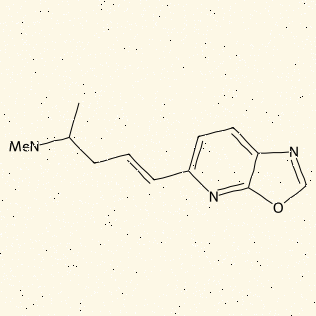 CNC(C)C/C=C/c1ccc2ncoc2n1